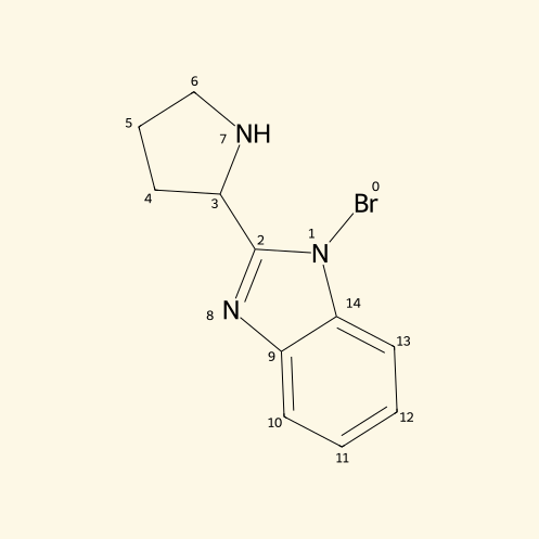 Brn1c(C2CCCN2)nc2ccccc21